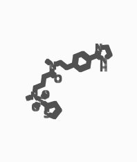 CN(CCc1ccc(C2=NCCN2)cc1)C(=O)CCCN(C)S(=O)(=O)c1cccs1